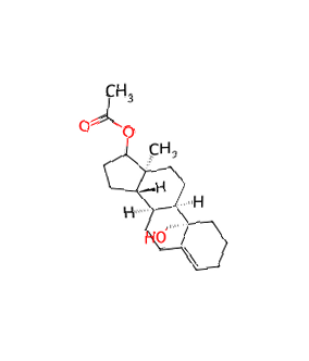 CC(=O)OC1CC[C@H]2[C@@H]3CCC4=CCCC[C@]4(CO)[C@@H]3CC[C@]12C